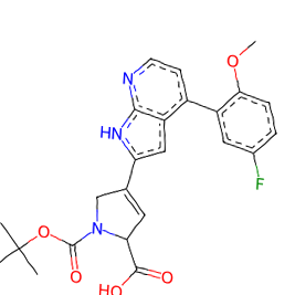 COc1ccc(F)cc1-c1ccnc2[nH]c(C3=CC(C(=O)O)N(C(=O)OC(C)(C)C)C3)cc12